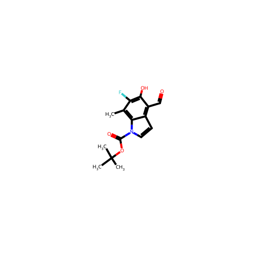 Cc1c(F)c(O)c(C=O)c2ccn(C(=O)OC(C)(C)C)c12